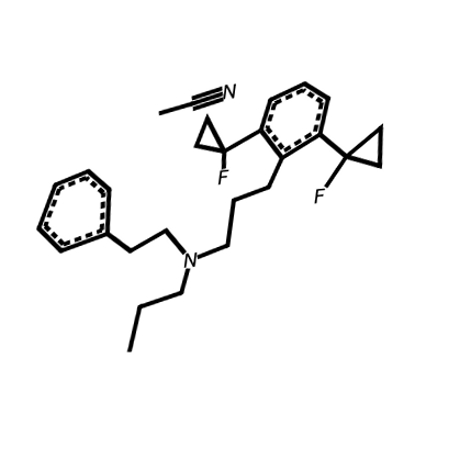 CC#N.CCCN(CCCc1c(C2(F)CC2)cccc1C1(F)CC1)CCc1ccccc1